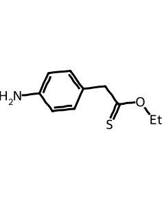 CCOC(=S)Cc1ccc(N)cc1